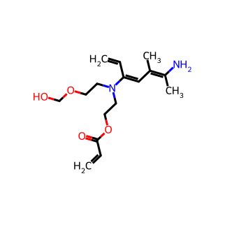 C=CC(=O)OCCN(CCOCO)/C(C=C)=C/C(C)=C(\C)N